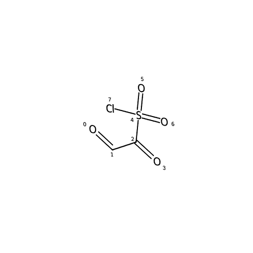 O=CC(=O)S(=O)(=O)Cl